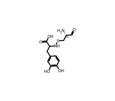 N[C@H](C=O)CSNC(Cc1ccc(O)c(O)c1)C(=O)O